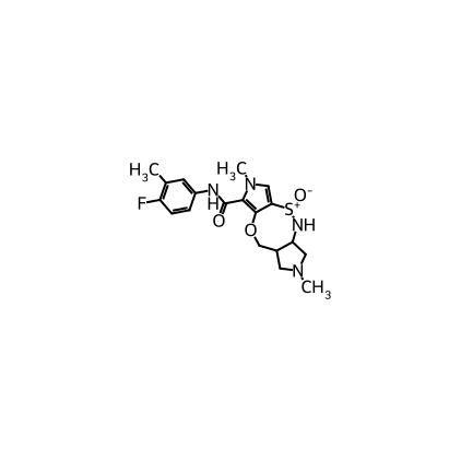 Cc1cc(NC(=O)c2c3c(cn2C)[S+]([O-])NC2CN(C)CC2CO3)ccc1F